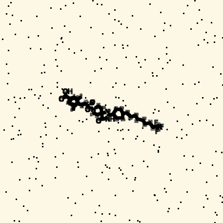 Cc1cc(C(=O)O)cc(C)c1/C=C/S(=O)(=O)N1CCC2(CC1)N=C(C1CCC(CCCCCCCCC(F)(F)F)CC1)NC2=O